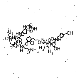 C#Cc1ccc(CNC(=O)[C@@H]2C[C@@H](O)CN2C(=O)[C@@H](c2cc(OCCCc3cccc(OC[C@H](CCC(N)=O)NC(=O)[C@@H]4CC[C@@H]5CCN(C(C)=O)C[C@H](NC(=O)c6cc7cc(C(=O)P(=O)(O)O)ccc7[nH]6)C(=O)N54)c3Cl)no2)C(C)C)cc1